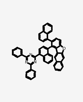 c1ccc(-c2nc(-c3ccccc3)nc(-c3ccc(-c4c(-c5cccc6ccccc56)ccc5oc6cc7ccccc7cc6c45)c4ccccc34)n2)cc1